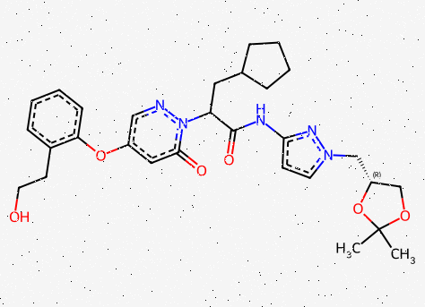 CC1(C)OC[C@@H](Cn2ccc(NC(=O)C(CC3CCCC3)n3ncc(Oc4ccccc4CCO)cc3=O)n2)O1